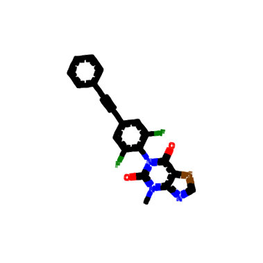 Cn1c(=O)n(-c2c(F)cc(C#Cc3ccccc3)cc2F)c(=O)c2scnc21